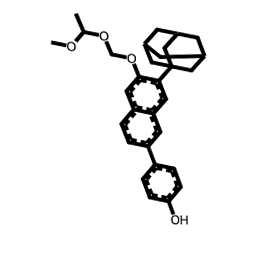 COC(C)OCOc1cc2ccc(-c3ccc(O)cc3)cc2cc1C12CC3CC(CC(C3)C1)C2